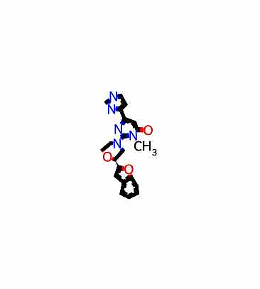 Cn1c(N2CCO[C@@H](c3cc4ccccc4o3)C2)nc(-c2ccncn2)cc1=O